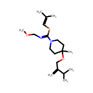 C=C(COC1(C)CCN(/C(=N/COC)SC=C(C)C)CC1)C(C)C